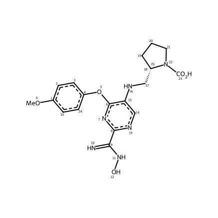 COc1ccc(Oc2nc(C(=N)NO)ncc2NC[C@@H]2CCCN2C(=O)O)cc1